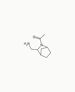 CC(=O)N1C2CCC(C2)C1CN